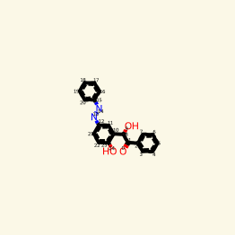 O=C(c1ccccc1)C(O)c1cc(N=Nc2ccccc2)ccc1O